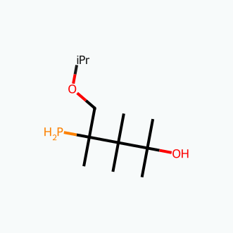 CC(C)OCC(C)(P)C(C)(C)C(C)(C)O